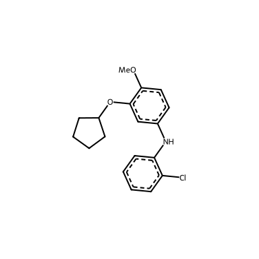 COc1ccc(Nc2ccccc2Cl)cc1OC1CCCC1